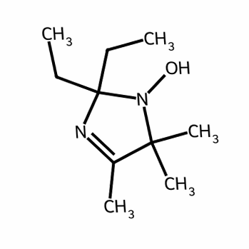 CCC1(CC)N=C(C)C(C)(C)N1O